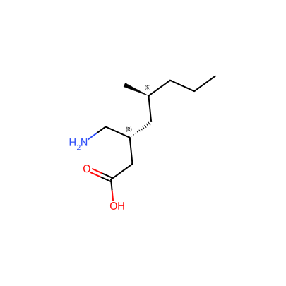 CCC[C@H](C)C[C@@H](CN)CC(=O)O